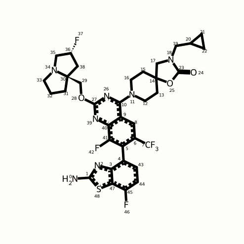 Nc1nc2c(-c3c(C(F)(F)F)cc4c(N5CCC6(CC5)CN(CC5CC5)C(=O)O6)nc(OC[C@@]56CCCN5C[C@H](F)C6)nc4c3F)ccc(F)c2s1